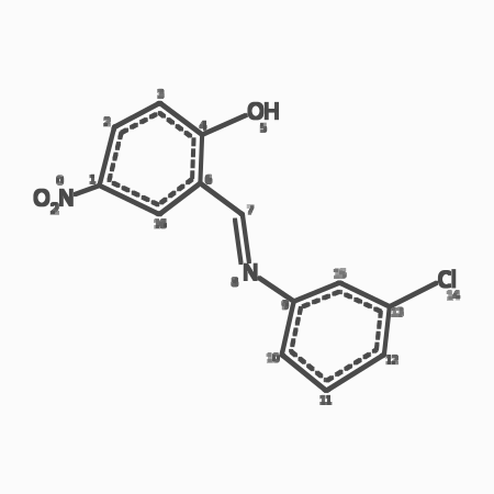 O=[N+]([O-])c1ccc(O)c(/C=N/c2cccc(Cl)c2)c1